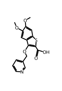 COc1cc2sc(C(=O)O)c(OCc3cccnc3)c2cc1OC